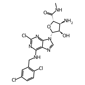 CNC(=O)[C@H]1O[C@@H](n2cnc3c(NCc4cc(Cl)ccc4Cl)nc(Cl)nc32)[C@H](O)[C@@H]1N